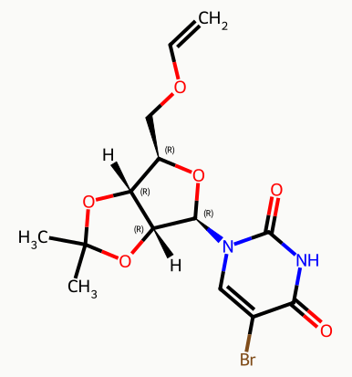 C=COC[C@H]1O[C@@H](n2cc(Br)c(=O)[nH]c2=O)[C@@H]2OC(C)(C)O[C@@H]21